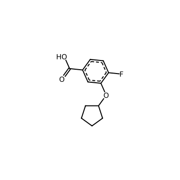 O=C(O)c1ccc(F)c(OC2CCCC2)c1